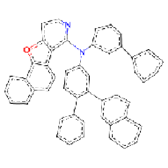 c1ccc(-c2cccc(N(c3ccc(-c4ccccc4)c(-c4ccc5ccccc5c4)c3)c3nccc4oc5c6ccccc6ccc5c34)c2)cc1